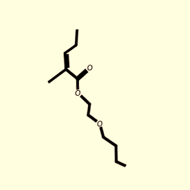 CCC=C(C)C(=O)OCCOCCCC